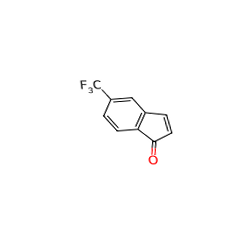 O=C1C=Cc2cc(C(F)(F)F)ccc21